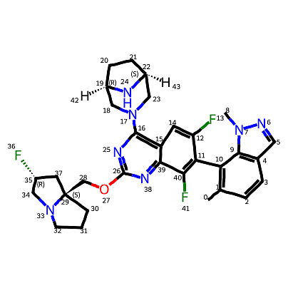 Cc1ccc2cnn(C)c2c1-c1c(F)cc2c(N3C[C@H]4CC[C@@H](C3)N4)nc(OC[C@@]34CCCN3C[C@H](F)C4)nc2c1F